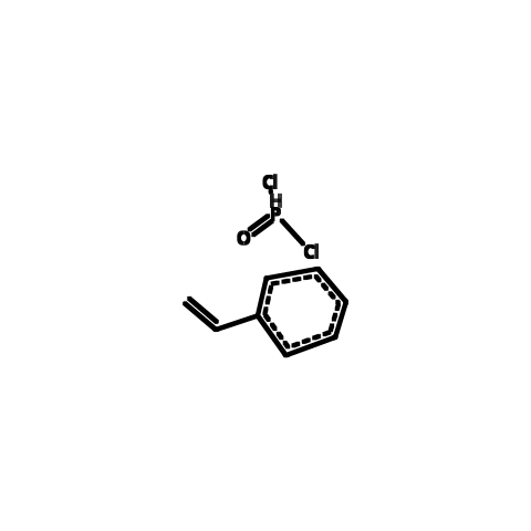 C=Cc1ccccc1.O=[PH](Cl)Cl